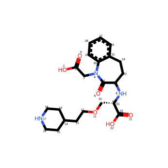 O=C(O)CN1C(=O)C(N[C@@H](COCCC2CCNCC2)C(=O)O)CCc2ccccc21